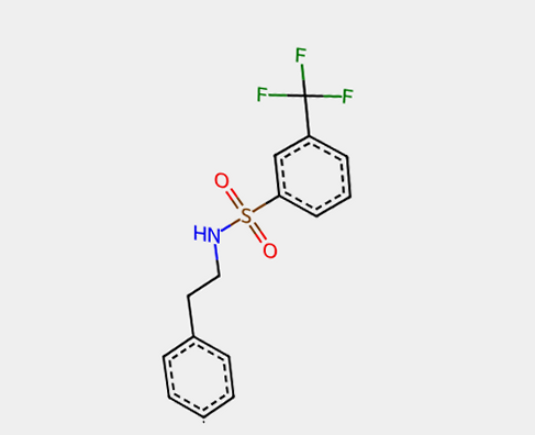 O=S(=O)(NCCc1cc[c]cc1)c1cccc(C(F)(F)F)c1